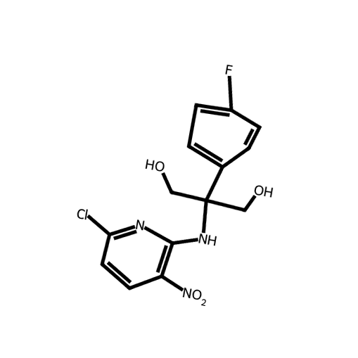 O=[N+]([O-])c1ccc(Cl)nc1NC(CO)(CO)c1ccc(F)cc1